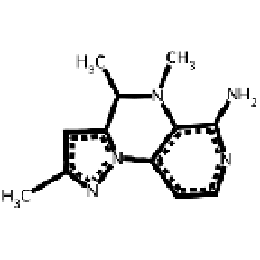 Cc1cc2n(n1)-c1ccnc(N)c1N(C)C2C